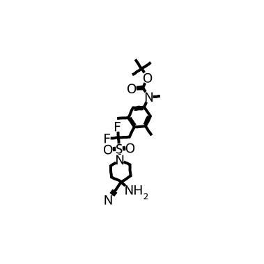 Cc1cc(N(C)C(=O)OC(C)(C)C)cc(C)c1CC(F)(F)S(=O)(=O)N1CCC(N)(C#N)CC1